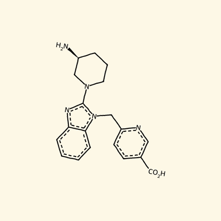 N[C@H]1CCCN(c2nc3ccccc3n2Cc2ccc(C(=O)O)cn2)C1